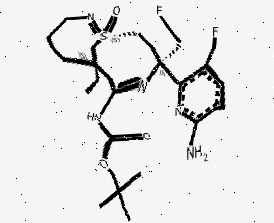 CC(C)(C)OC(=O)NC1=N[C@](CF)(c2nc(N)ccc2F)C[S@@]2(=O)=NCCC[C@@]12C